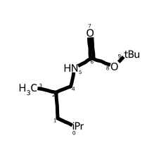 CC(C)CC(C)CNC(=O)OC(C)(C)C